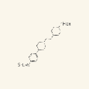 CCCCCCC1CCC(CCC2CCC(c3ccc(N=C=S)cc3)CC2)CC1